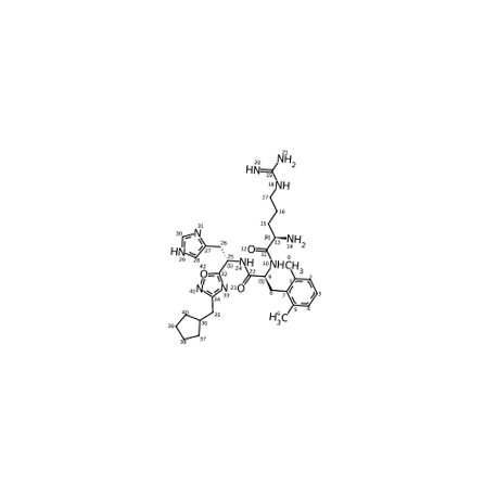 Cc1cccc(C)c1C[C@H](NC(=O)[C@H](N)CCCNC(=N)N)C(=O)N[C@@H](Cc1c[nH]cn1)c1nc(CC2CCCC2)no1